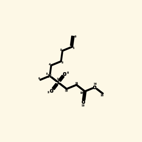 C=CCCCN(C)S(=O)(=O)CCC(=O)OC